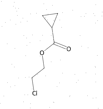 O=C(OCCCl)C1CC1